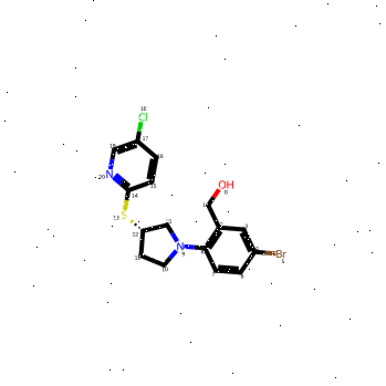 OCc1cc(Br)ccc1N1CC[C@H](Sc2ccc(Cl)cn2)C1